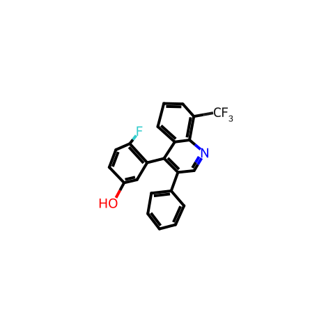 Oc1ccc(F)c(-c2c(-c3ccccc3)cnc3c(C(F)(F)F)cccc23)c1